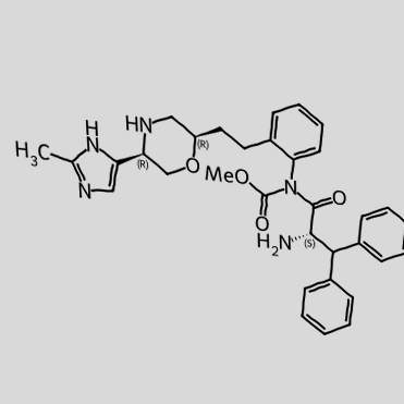 COC(=O)N(C(=O)[C@@H](N)C(c1ccccc1)c1ccccc1)c1ccccc1CC[C@@H]1CN[C@H](c2cnc(C)[nH]2)CO1